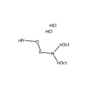 CCCCCCCC[N](CCCCCCCC)[Ti][O]CCC.Cl.Cl